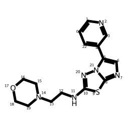 c1cncc(-c2cnc3sc(NCCN4CCOCC4)nn23)c1